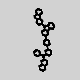 c1ccc(N(c2cccc(-c3ccc(-c4ccc5c(c4)c4ccccc4n5-c4ccc5sc6ccccc6c5c4)cc3)c2)c2ccc3ccccc3c2)cc1